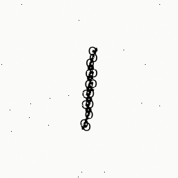 C=CC(=O)CCOCCOc1ccc(C(=O)Oc2ccc(C(=O)Oc3ccc(OC(=O)c4ccc(OC(=O)c5ccc(OCCCCOC(=O)C=C)cc5)cc4)c(C)c3)cc2)cc1